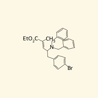 CCOC(=O)C(C)=CC(Cc1ccc(Br)cc1)N(Cc1ccccc1)Cc1ccccc1